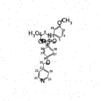 COc1cccc(N(CC(C)C)S(=O)(=O)c2ccc(OCc3ccncc3)cc2)c1